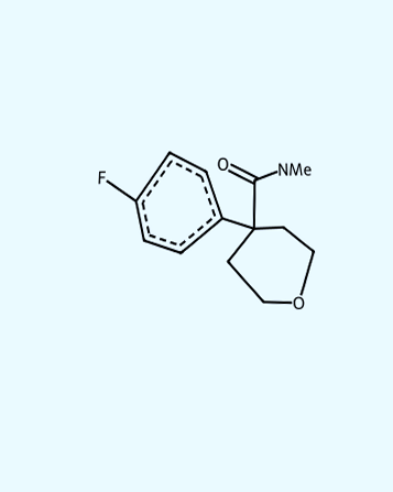 CNC(=O)C1(c2ccc(F)cc2)CCOCC1